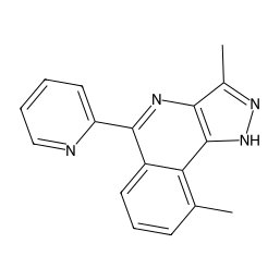 Cc1n[nH]c2c1nc(-c1ccccn1)c1cccc(C)c12